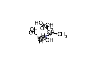 CC#CCC[C@H](O)/C=C/[C@H]1C(O)C[C@@H]2O[C@H](CCCCC(=O)O)C[C@@H]21.NC(CO)(CO)CO